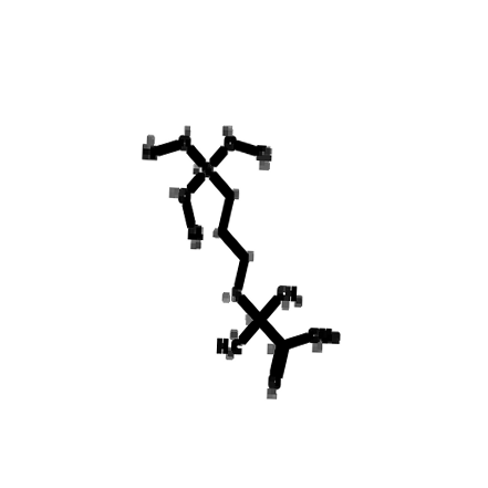 CCO[Si](CCCSC(C)(C)C(=O)OC)(OCC)OCC